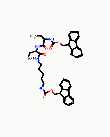 O=C(NCCCCCNC(=O)C(CS(=O)(=O)O)NC(=O)C(CS(=O)(=O)O)NC(=O)OCC1c2ccccc2-c2ccccc21)OCC1c2ccccc2-c2ccccc21